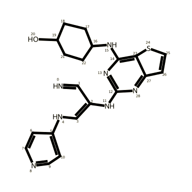 N=C/C(=C\Nc1ccncc1)Nc1nc(NC2CCC(O)CC2)c2sccc2n1